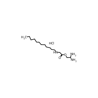 CCCCCCCCCCCCNCC(=O)OCC(N)N.Cl